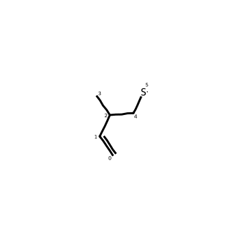 C=CC(C)C[S]